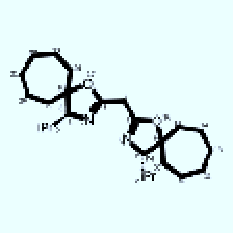 CC(C)[C@@H]1N=C(CC2=N[C@@H](C(C)C)C3(CCCCCC3)O2)OC12CCCCCC2